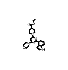 CCOC(=O)C1CCN(c2cc(N3CCOCC3)nc(-c3cccc4[nH]ccc34)n2)CC1